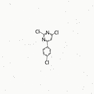 Clc1ccc(-c2cc(Cl)nc(Cl)n2)cc1